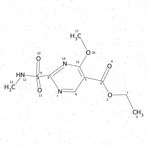 CCOC(=O)c1cnc(S(=O)(=O)NC)nc1OC